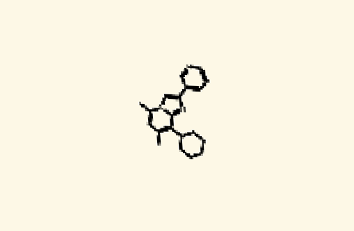 Cc1cc(C)n2[c]c(-c3cccnc3)nc2c1C1CCCCC1